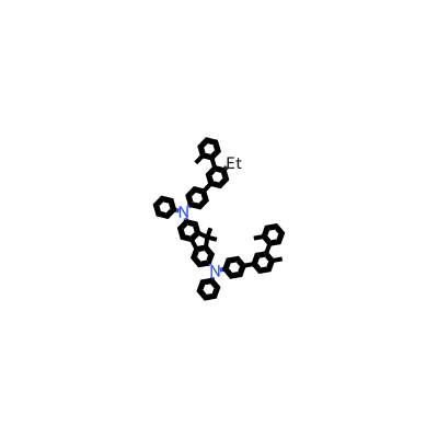 CCc1ccc(-c2ccc(N(c3ccccc3)c3ccc4c(c3)C(C)(C)c3cc(N(c5ccccc5)c5ccc(-c6ccc(C)c(-c7ccccc7C)c6)cc5)ccc3-4)cc2)cc1-c1ccccc1C